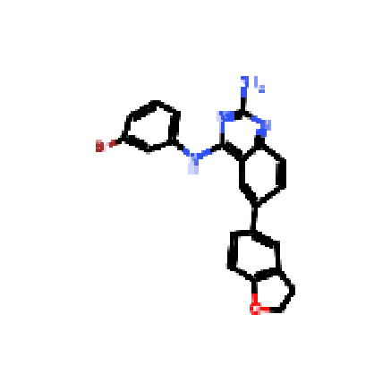 Nc1nc(Nc2cccc(Br)c2)c2cc(-c3ccc4c(c3)CCO4)ccc2n1